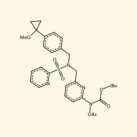 COC1(c2ccc(CN(Cc3cccc(N(OC(C)=O)C(=O)OC(C)(C)C)n3)S(=O)(=O)c3ccccn3)cc2)CC1